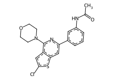 CC(=O)Nc1cccc(-c2cc3sc(Cl)cc3c(N3CCOCC3)n2)c1